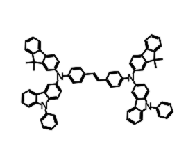 CC1(C)c2ccccc2-c2ccc(N(c3ccc(/C=C/c4ccc(N(c5ccc6c(c5)C(C)(C)c5ccccc5-6)c5ccc6c(c5)c5ccccc5n6-c5ccccc5)cc4)cc3)c3ccc4c(c3)c3ccccc3n4-c3ccccc3)cc21